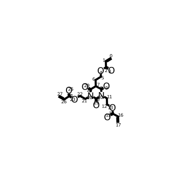 C=CC(=O)OCCC1C(=O)N(CCOC(=O)C=C)C(=O)N(CCOC(=O)C=C)C1=O